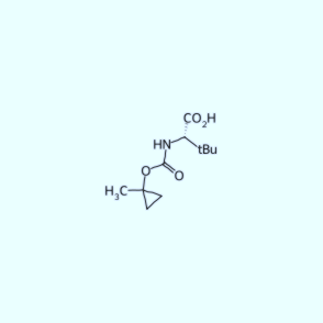 CC1(OC(=O)N[C@H](C(=O)O)C(C)(C)C)CC1